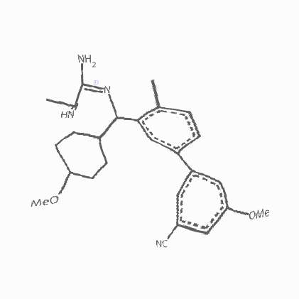 COc1cc(C#N)cc(-c2ccc(C)c(C(/N=C(/N)C(C)=N)C3CCC(OC)CC3)c2)c1